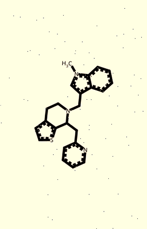 Cn1cc(CN2CCc3ccsc3C2Cc2ccccn2)c2ccccc21